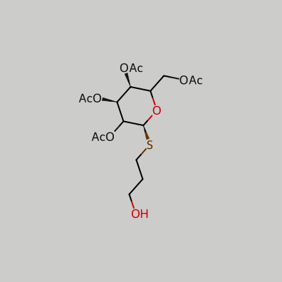 CC(=O)OCC1O[C@@H](SCCCO)C(OC(C)=O)[C@@H](OC(C)=O)[C@H]1OC(C)=O